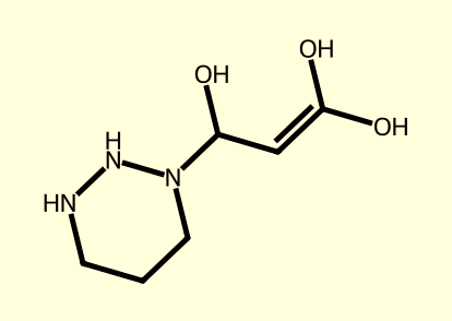 OC(O)=CC(O)N1CCCNN1